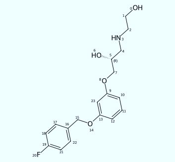 OCCNC[C@@H](O)COc1cccc(OCc2ccc(F)cc2)c1